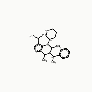 CC(C)c1cnn2c1N([C@@H]1CCCNC1)C(N)N([C@@H](C)c1ccccc1)C2N